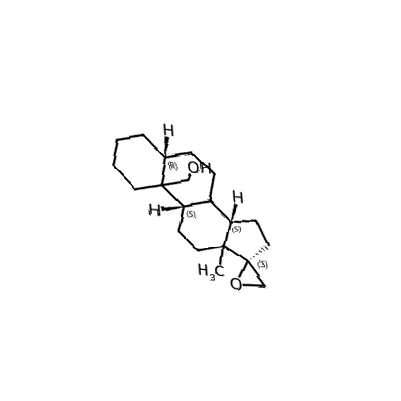 CC12CC[C@H]3C(CC[C@H]4CCCCC43CO)[C@@H]1CC[C@@]21CO1